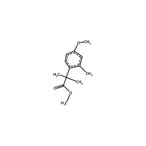 COC(=O)C(C)(C)c1ccc(OC)cc1C